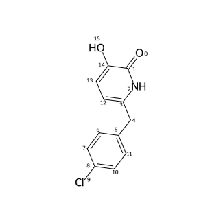 O=c1[nH]c(Cc2ccc(Cl)cc2)ccc1O